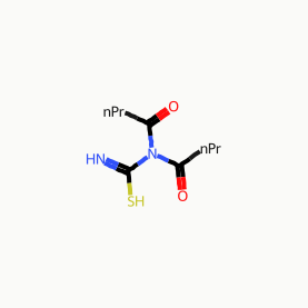 CCCC(=O)N(C(=N)S)C(=O)CCC